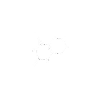 C=C1NC(=O)C2=C(CCSC2)N1